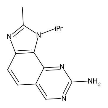 Cc1nc2ccc3cnc(N)nc3c2n1C(C)C